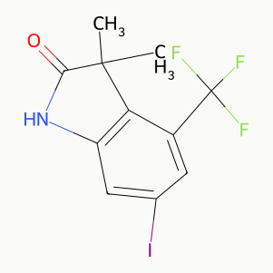 CC1(C)C(=O)Nc2cc(I)cc(C(F)(F)F)c21